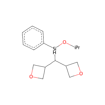 CC(C)O[SiH](c1ccccc1)C(C1COC1)C1COC1